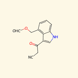 N#CCC(=O)c1c[nH]c2cccc(COC=O)c12